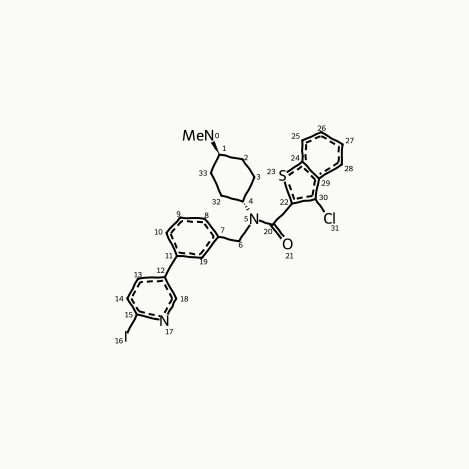 CN[C@H]1CC[C@H](N(Cc2cccc(-c3ccc(I)nc3)c2)C(=O)c2sc3ccccc3c2Cl)CC1